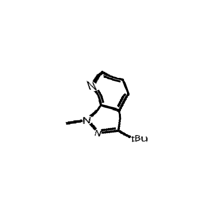 Cn1nc(C(C)(C)C)c2cccnc21